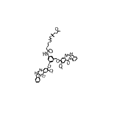 COc1cc2c(cc1OCc1cc(COc3cc4c(cc3OC)C(=O)N3c5ccccc5C[C@H]3C=N4)cc(NC(=O)CCCSSC(C)(C)CCC(C)=O)c1)N=C[C@@H]1Cc3ccccc3N1C2=O